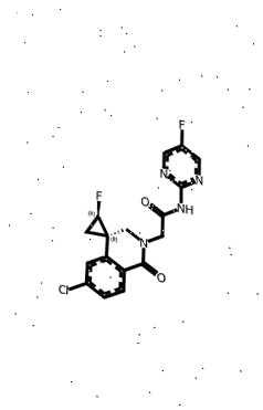 O=C(CN1C[C@@]2(C[C@H]2F)c2cc(Cl)ccc2C1=O)Nc1ncc(F)cn1